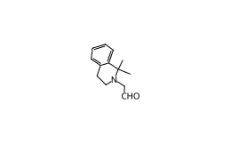 CC1(C)c2ccccc2CCN1CC=O